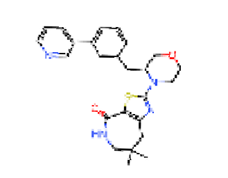 CC1(C)CNC(=O)c2sc(N3CCOC[C@@H]3Cc3cccc(-c4cccnc4)c3)nc2C1